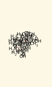 CC(C)C[C@H](NC(=O)[C@@H]1CCCN1C(=O)[C@@H](NC(=O)[C@H](C)NC(=O)[C@H](CCC(=O)O)NC(=O)[C@H](C)NC(=O)[C@H](C)NC(=O)[C@@H]1CCCN1)C(C)C)C(=O)N[C@H](C(=O)N[C@@H](CCCCN)C(=O)N[C@@H](CCC(N)=O)C(=O)N[C@@H](CC(=O)O)C(=O)O)C(C)C